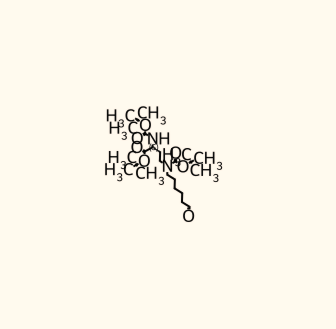 CC(C)(C)OC(=O)N[C@@H](CCN(CCCCCC=O)C(=O)OC(C)(C)C)C(=O)OC(C)(C)C